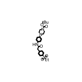 CCS(=O)(=O)c1ccc(CC(=O)Nc2ccc(N3CCN(C(=O)OC(C)(C)C)CC3)cc2)cc1